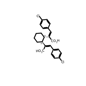 O=C(O)C(=Cc1ccc(Cl)cc1)[C@H]1CCCC[C@@H]1C(=Cc1ccc(Cl)cc1)C(=O)O